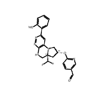 O=Cc1ccc(O[C@H]2CN3c4cc(-c5ccccc5O)nnc4NC[C@@]3(C(F)F)C2)nc1